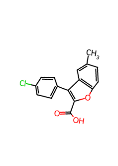 Cc1ccc2oc(C(=O)O)c(-c3ccc(Cl)cc3)c2c1